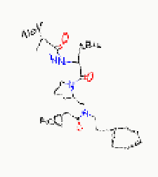 CN[C@@H](C)C(=O)NC(C(=O)N1CCCC1CN(CCc1ccccc1)C(=O)COC(C)=O)C(C)(C)C